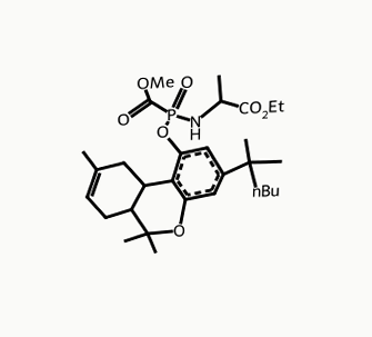 CCCCC(C)(C)c1cc2c(c(OP(=O)(NC(C)C(=O)OCC)C(=O)OC)c1)C1CC(C)=CCC1C(C)(C)O2